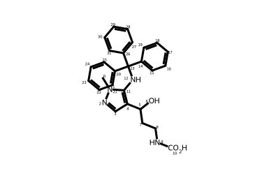 Cn1ncc(C(O)CCNC(=O)O)c1NC(c1ccccc1)(c1ccccc1)c1ccccc1